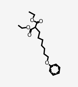 CCOC(=O)C(CCCCCCCOc1ccccc1)C(=O)OCC